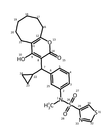 CN(c1cccc(C(c2c(O)c3c(oc2=O)CCCCCC3)C2CC2)c1)S(=O)(=O)c1cscn1